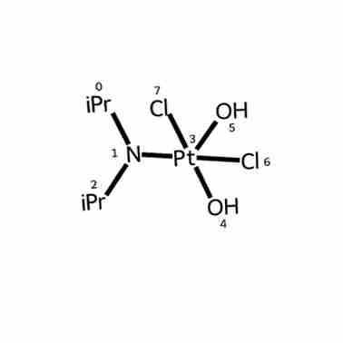 CC(C)[N](C(C)C)[Pt]([OH])([OH])([Cl])[Cl]